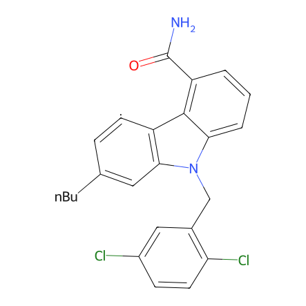 CCCCc1c[c]c2c3c(C(N)=O)cccc3n(Cc3cc(Cl)ccc3Cl)c2c1